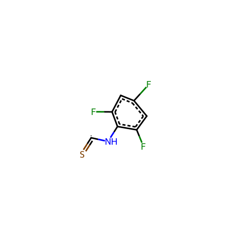 Fc1cc(F)c(N[C]=S)c(F)c1